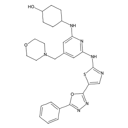 OC1CCC(Nc2cc(CN3CCOCC3)cc(Nc3ncc(-c4nnc(-c5ccccc5)o4)s3)n2)CC1